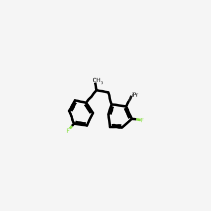 CC(C)c1c(F)cccc1CC(C)c1ccc(F)cc1